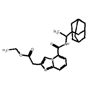 CCOC(=O)Cc1cn2c(C(=O)NC(C)C34CC5CC(CC(C5)C3)C4)cccc2n1